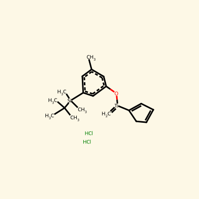 Cl.Cl.[CH2]=[Ti]([O]c1cc(C)cc([Si](C)(C)C(C)(C)C)c1)[C]1=CC=CC1